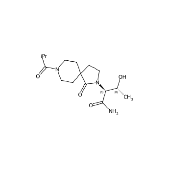 CC(C)C(=O)N1CCC2(CC1)CCN([C@H](C(N)=O)[C@@H](C)O)C2=O